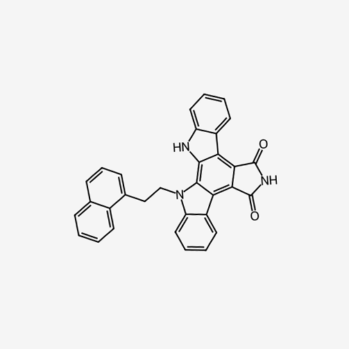 O=C1NC(=O)c2c1c1c3ccccc3[nH]c1c1c2c2ccccc2n1CCc1cccc2ccccc12